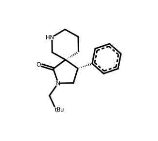 CC(C)(C)CN1C[C@@H](c2ccccc2)[C@@]2(CCCNC2)C1=O